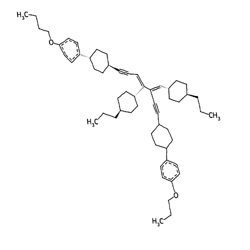 CCCCOc1ccc([C@H]2CC[C@H](C#C/C=C(/C(C#CC3CCC(c4ccc(OCCC)cc4)CC3)=C[C@H]3CC[C@H](CCC)CC3)[C@H]3CC[C@H](CCC)CC3)CC2)cc1